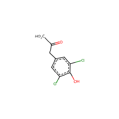 O=C(O)C(=O)Cc1cc(Cl)c(O)c(Cl)c1